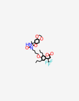 CCCc1cc2c(C(F)(F)F)cc(=O)oc2c(CCC)c1OCCCCN1C(=O)NC(C)(c2ccc3c(c2)OCCO3)C1=O